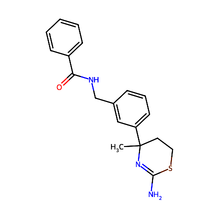 CC1(c2cccc(CNC(=O)c3ccccc3)c2)CCSC(N)=N1